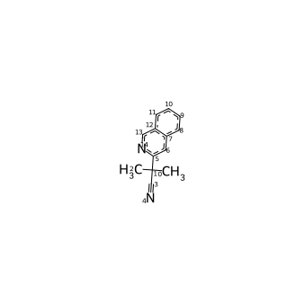 CC(C)(C#N)c1cc2ccccc2[c]n1